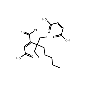 CCCCCC(CC)(CC)/C(=C\C(=O)O)C(=O)O.O=C(O)/C=C\C(=O)O